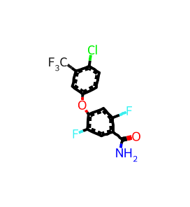 NC(=O)c1cc(F)c(Oc2ccc(Cl)c(C(F)(F)F)c2)cc1F